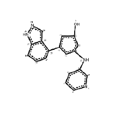 Oc1cc(Nc2cccnc2)cc(-c2cccc3[nH]ncc23)c1